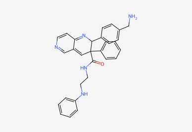 NCc1ccc(C2N=c3ccncc3=CC2(C(=O)NCCNc2ccccc2)c2ccccc2)cc1